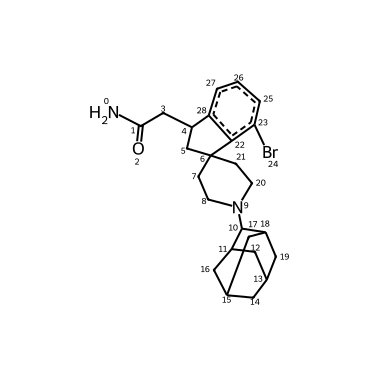 NC(=O)CC1CC2(CCN(C3C4CC5CC(C4)CC3C5)CC2)c2c(Br)cccc21